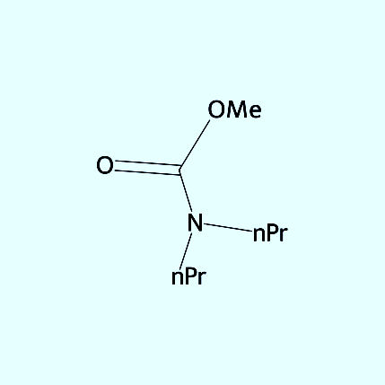 CCCN(CCC)C(=O)OC